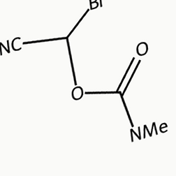 CNC(=O)OC(Br)C#N